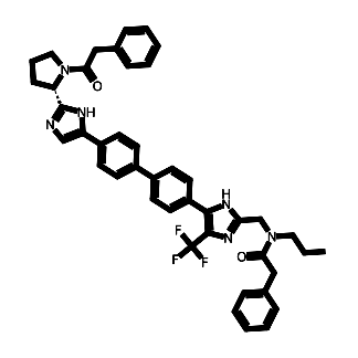 CCCN(Cc1nc(C(F)(F)F)c(-c2ccc(-c3ccc(-c4cnc([C@@H]5CCCN5C(=O)Cc5ccccc5)[nH]4)cc3)cc2)[nH]1)C(=O)Cc1ccccc1